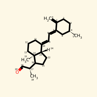 C=C1CC[C@H](C)C/C1=C\C=C1/CCC[C@]2(C)C([C@H](C)C=O)CC[C@@H]12